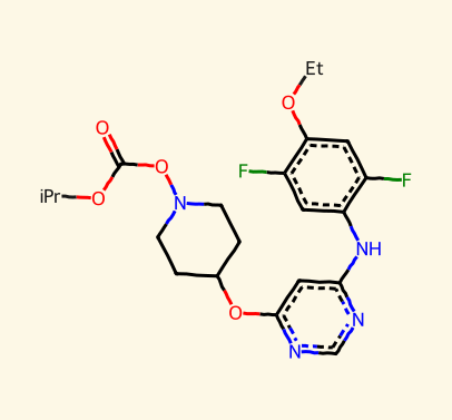 CCOc1cc(F)c(Nc2cc(OC3CCN(OC(=O)OC(C)C)CC3)ncn2)cc1F